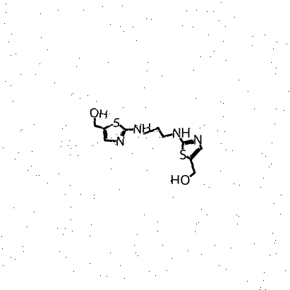 OCc1cnc(NCCCNc2ncc(CO)s2)s1